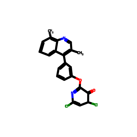 Cc1cnc2c(C(F)(F)F)cccc2c1-c1cccc(OC2=NC(Cl)=CC(Cl)C2=O)c1